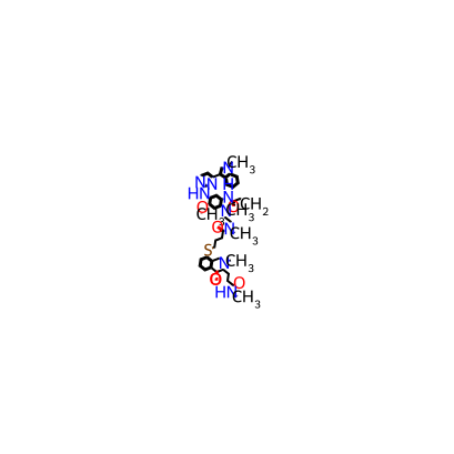 C=CC(=O)Nc1cc(Nc2nccc(-c3cn(C)c4ccccc34)n2)c(OC)cc1N(C)CCN(C)C(=O)CCCSc1cccc(C=O)c1CN(C)C(C=O)CCC(=O)NC